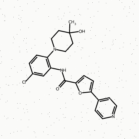 CC1(O)CCN(c2ccc(Cl)cc2NC(=O)c2ccc(-c3ccncc3)o2)CC1